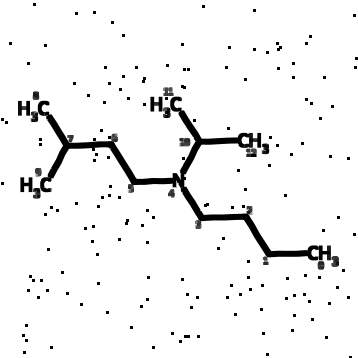 CCCCN(CCC(C)C)C(C)C